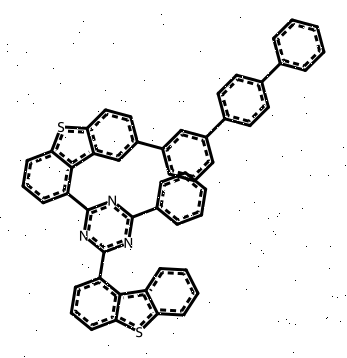 c1ccc(-c2ccc(-c3cccc(-c4ccc5sc6cccc(-c7nc(-c8ccccc8)nc(-c8cccc9sc%10ccccc%10c89)n7)c6c5c4)c3)cc2)cc1